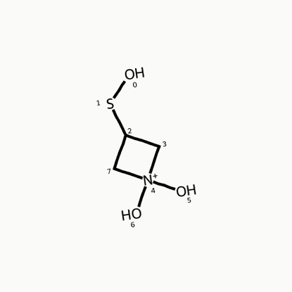 OSC1C[N+](O)(O)C1